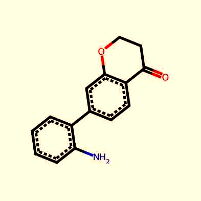 Nc1ccccc1-c1ccc2c(c1)OCCC2=O